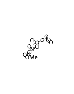 COC(=O)N1CCC(N2CCC(Cc3c(Cl)cc(-c4ccc(C(=O)N5CCOCC5)cc4)cc3Cl)C2=O)CC1